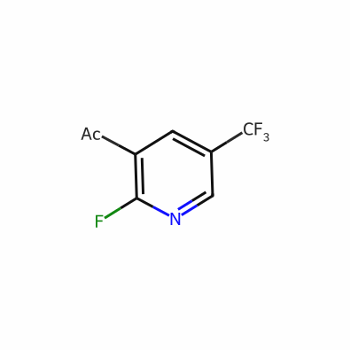 CC(=O)c1cc(C(F)(F)F)cnc1F